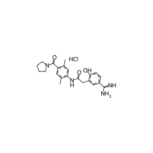 Cc1cc(C(=O)N2CCCC2)c(C)cc1NC(=O)Cc1cc(C(=N)N)ccc1O.Cl